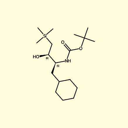 CC(C)(C)OC(=O)N[C@@H](CC1CCCCC1)[C@@H](O)C[Si](C)(C)C